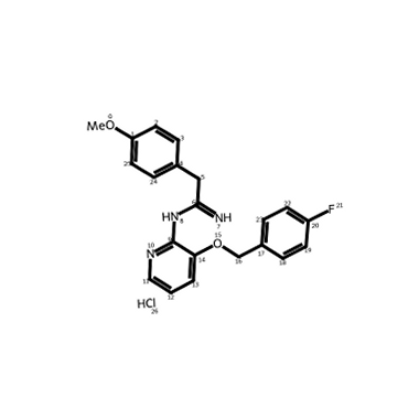 COc1ccc(CC(=N)Nc2ncccc2OCc2ccc(F)cc2)cc1.Cl